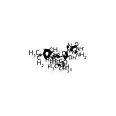 C=C(C)[C@@H]1CC[C@]2(C)SP(=S)(OC[C@H]3O[C@@H](n4cnc5c(=O)[nH]c(N)nc54)[C@H](O)[C@@H]3O[Si](C)(C)C(C)(C)C)O[C@H]2C1